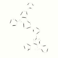 C[Si]1(C)c2ccccc2-c2nc(-c3cccc(-c4ccc5c(c4)c4cc(-c6ccccc6)ccc4n5-c4ccccc4)c3)nc(-c3ccccc3)c21